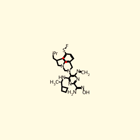 C=Nc1nc(/C(N)=N/O)nc(N[C@H](C)C2CCC2)c1N(Cc1ccc(SF)cc1)CN1CCC(CC(C)C)C1